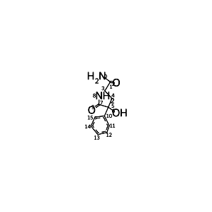 NC(=O)CCC(O)(C(N)=O)c1ccccc1